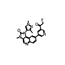 Cc1nn(C)cc1-n1c(=O)n(C)c2cnc3ccc(-c4cncc(C(=O)CF)c4)cc3c21